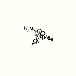 C=C(NCC1CC1)c1ccc2c(n1)N(C(=C)Nc1ccc(F)cn1)[C@@H](CCN)CC2